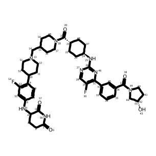 O=C1CCC(Nc2ccc(C3CCN(CC4CCN(C(=O)[C@H]5CC[C@H](Nc6ncc(F)c(-c7cccc(C(=O)N8CC[C@H](O)C8)c7)n6)CC5)CC4)CC3)c(F)c2)C(=O)N1